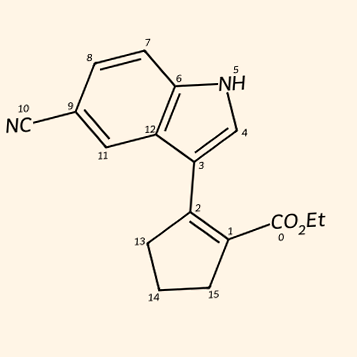 CCOC(=O)C1=C(c2c[nH]c3ccc(C#N)cc23)CCC1